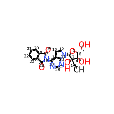 C#C[C@@]1(O)[C@H](O)[C@@H](CO)O[C@H]1n1ccc2c(N3C(=O)c4ccccc4C3=O)ncnc21